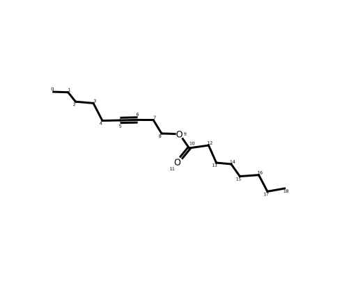 CCCCCC#CCCOC(=O)CCCCCCC